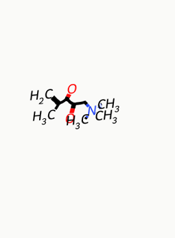 C=C(C)C(=O)C(=O)C[N+](C)(C)C